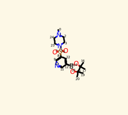 CN1CCN(S(=O)(=O)c2cncc(B3OC(C)(C)C(C)(C)O3)c2)CC1